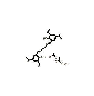 CC(=O)[O-].CC(=O)[O-].CCc1cc(C(C)C)cc(C=NCCN=Cc2cc(C(C)C)cc(CC)c2O)c1O.[Co+2]